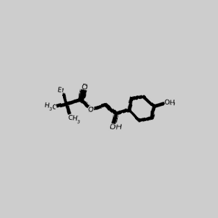 CCC(C)(C)C(=O)OCC(O)C1CCC(O)CC1